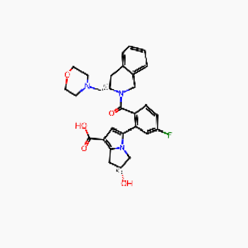 O=C(O)c1cc(-c2cc(F)ccc2C(=O)N2Cc3ccccc3C[C@H]2CN2CCOCC2)n2c1C[C@@H](O)C2